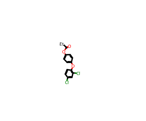 CCC(=O)Oc1ccc(Oc2ccc(Cl)cc2Cl)cc1